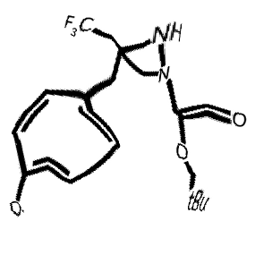 CC(C)(C)OC(=O)N1NC1(c1ccc([O])cc1)C(F)(F)F